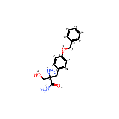 NC(=O)C(N)(CO)Cc1ccc(OCc2ccccc2)cc1